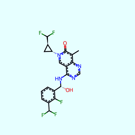 Cc1c(=O)n([C@@H]2C[C@H]2C(F)F)cc2c(N[C@H](O)c3cccc(C(F)F)c3F)ncnc12